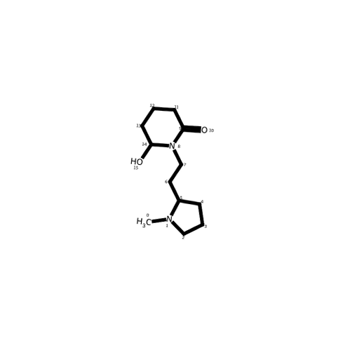 CN1CCCC1CCN1C(=O)CCCC1O